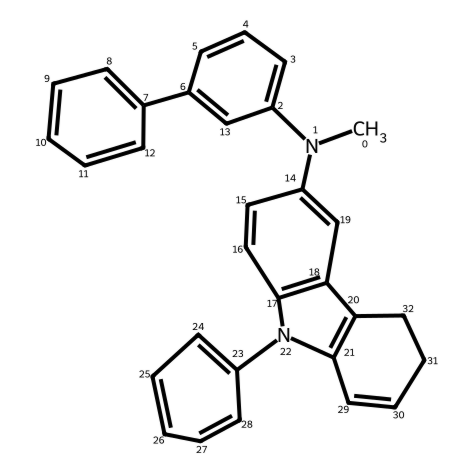 CN(c1cccc(-c2ccccc2)c1)c1ccc2c(c1)c1c(n2-c2ccccc2)C=CCC1